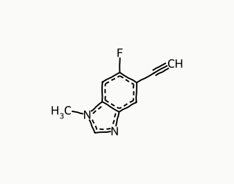 C#Cc1cc2ncn(C)c2cc1F